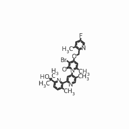 Cc1cnc(-c2nc(C(C)(C)O)ccc2C)cc1-n1c(C)cc(OCc2ncc(F)cc2C)c(Br)c1=O